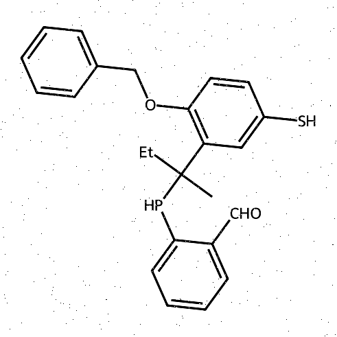 CCC(C)(Pc1ccccc1C=O)c1cc(S)ccc1OCc1ccccc1